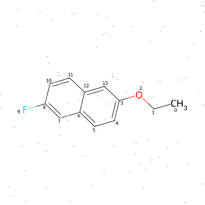 CCOc1ccc2cc(F)ccc2c1